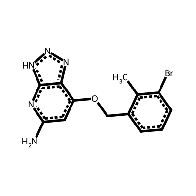 Cc1c(Br)cccc1COc1cc(N)nc2[nH]nnc12